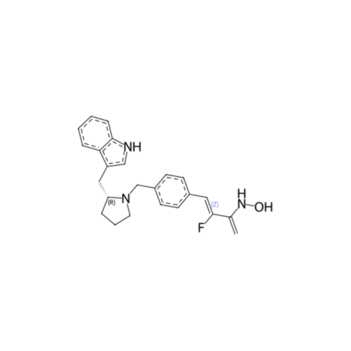 C=C(NO)/C(F)=C/c1ccc(CN2CCC[C@@H]2Cc2c[nH]c3ccccc23)cc1